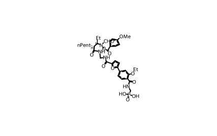 CCCCC[C@@H](C(=O)NCNC(=O)c1ccc(-c2ccc(C(=O)NCP(=O)(O)O)c(OCC)c2)o1)[C@@H](CC)N(C=O)OC(=O)c1ccc(OC)cc1